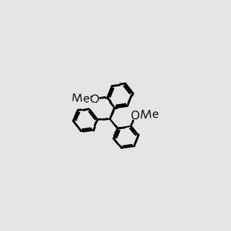 COc1ccccc1C(c1ccccc1)c1ccccc1OC